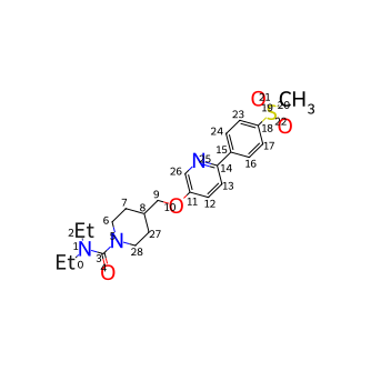 CCN(CC)C(=O)N1CCC(COc2ccc(-c3ccc(S(C)(=O)=O)cc3)nc2)CC1